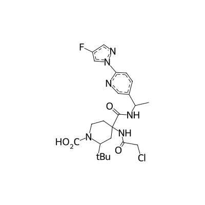 CC(NC(=O)C1(NC(=O)CCl)CCN(C(=O)O)C(C(C)(C)C)C1)c1ccc(-n2cc(F)cn2)nc1